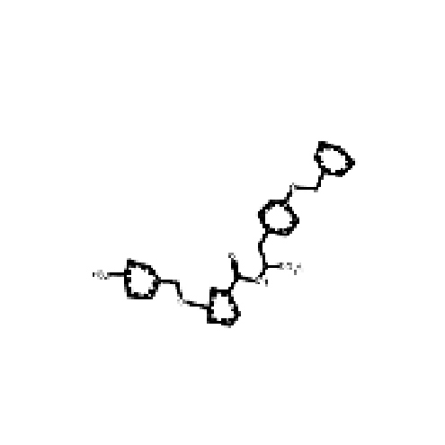 CCCCc1ccc(COc2cccc(C(=O)N[C@@H](Cc3ccc(OCc4ccccc4)cc3)C(=O)O)c2)cc1